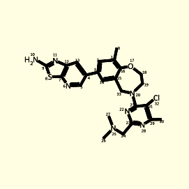 Cc1cc(-c2cnc3sc(N)nc3c2)cc2c1OCCN(c1nc(CN(C)C)nc(C)c1Cl)C2